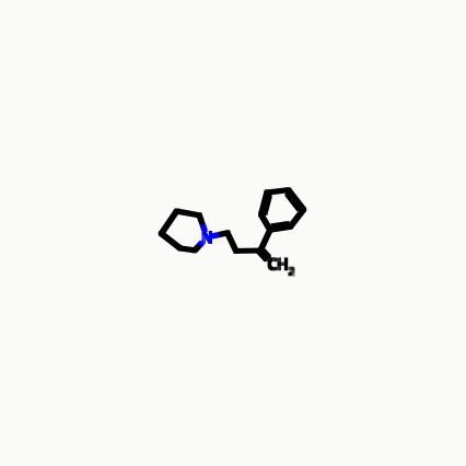 C=C(CCN1CCCCC1)c1ccccc1